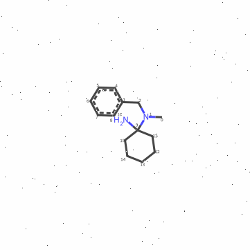 CN(Cc1ccccc1)C1(N)CCCCC1